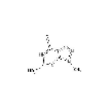 Cn1ncc2c(=O)[nH]c(C(=O)O)nc21